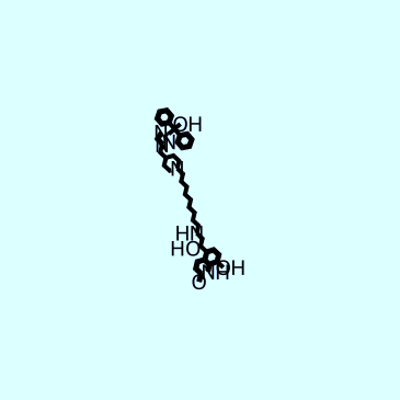 O=c1ccc2c([C@@H](O)CNCCCCCCCCCN3CCC(Cn4cnc(C(O)(c5ccccc5)c5ccccc5)n4)CC3)ccc(O)c2[nH]1